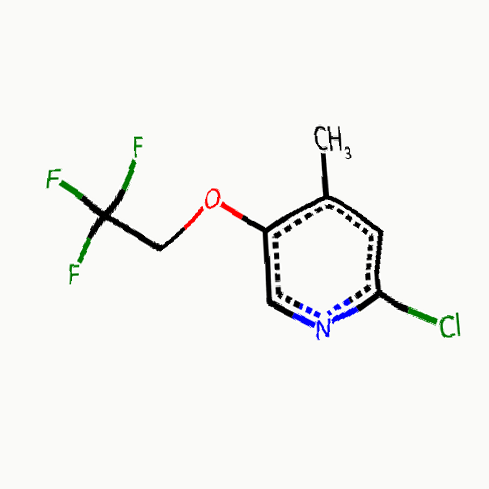 Cc1cc(Cl)ncc1OCC(F)(F)F